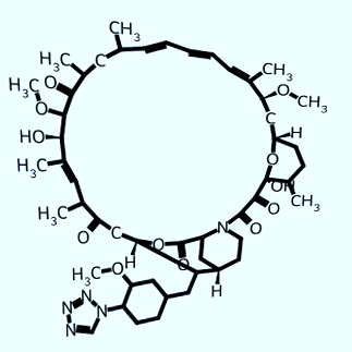 COC1CC(CC2[C@H]3CCN4C(=O)C(=O)C5(O)O[C@@H](CCC5C)C[C@H](OC)/C(C)=C/C=C/C=C/C(C)CC(C)C(=O)C(OC)[C@H](O)/C(C)=C/C(C)C(=O)C[C@@H]2OC(=O)C4C3)CCC1n1cnnn1